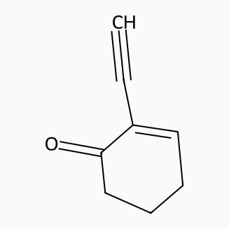 C#CC1=CCCCC1=O